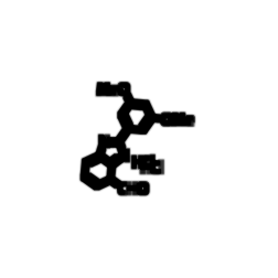 COc1cc(OC)cc(C2=NC3=CC=CC(C=O)C3=N2)c1.Cl.Cl